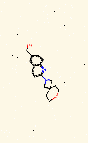 OCc1ccc2nc(N3CC4(CCOCC4)C3)ccc2c1